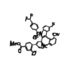 COC(=O)c1ccc(-c2cccc(-c3c(-c4c(C#N)cccc4C#N)c4cc(F)ccc4n3[S+]([O-])c3ccc(C(F)F)cc3)c2)c(Cl)c1